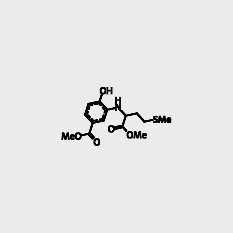 COC(=O)c1ccc(O)c(NC(CCSC)C(=O)OC)c1